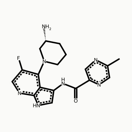 Cc1cnc(C(=O)Nc2c[nH]c3ncc(F)c(N4CCC[C@@H](N)C4)c23)cn1